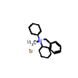 C[N+](Cc1ccccc1)(C1CCCCC1)C1CCCCC1.[Br-]